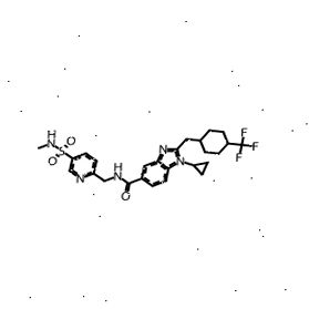 CNS(=O)(=O)c1ccc(CNC(=O)c2ccc3c(c2)nc(CC2CCC(C(F)(F)F)CC2)n3C2CC2)nc1